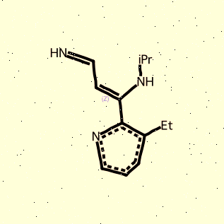 CCc1cccnc1/C(=C/C=N)NC(C)C